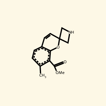 COC(=O)c1c(C)ccc2c1OC1(C=C2)CNC1